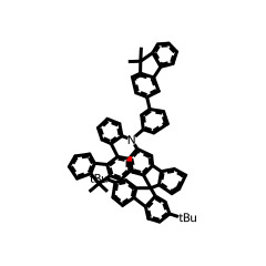 CC(C)(C)c1ccc2c(c1)C1(c3ccccc3-c3cc(N(c4cccc(-c5ccc6c(c5)-c5ccccc5C6(C)C)c4)c4ccccc4-c4cccc5c4-c4ccccc4C5(C)C)ccc31)c1cc(C(C)(C)C)ccc1-2